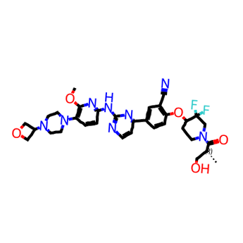 COc1nc(Nc2nccc(-c3ccc(OC4CCN(C(=O)[C@H](C)CO)CC4(F)F)c(C#N)c3)n2)ccc1N1CCN(C2COC2)CC1